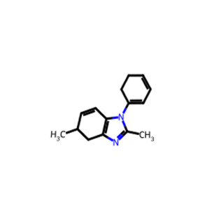 Cc1nc2c(n1C1=CC=CCC1)C=CC(C)C2